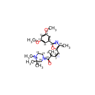 C=C(/C=C\c1oc(-c2cc(OC)cc(OC)c2)nc1C)C(=O)N1CCN(C)C(C)(C)C1